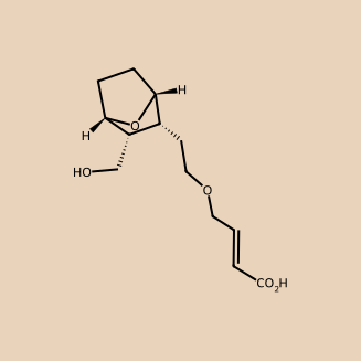 O=C(O)/C=C/COCC[C@@H]1[C@H](CO)[C@@H]2CC[C@H]1O2